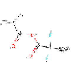 C=C(C)C(=O)OC(=O)C(F)(F)S(=O)(=O)O